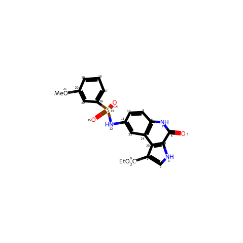 CCOC(=O)c1c[nH]c2c(=O)[nH]c3ccc(NS(=O)(=O)c4cccc(OC)c4)cc3c12